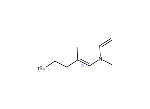 C=CN(C)/C=C(\C)CCC(C)(C)C